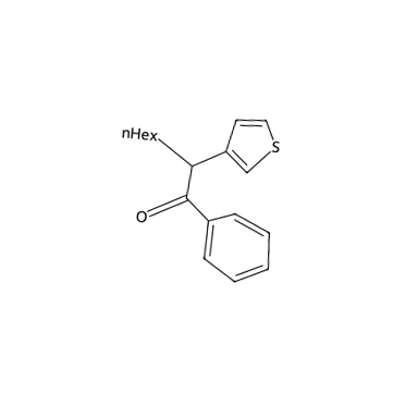 CCCCCCC(C(=O)c1ccccc1)c1ccsc1